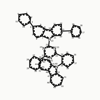 c1ccc(-c2ccc3c(c2)c2ccc(-c4ccccc4)cc2n3-c2nc(-c3ccccc3)nc(-c3ccccc3-n3c4ccccc4c4ccccc43)n2)cc1